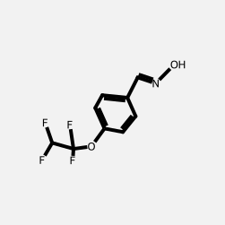 ON=Cc1ccc(OC(F)(F)C(F)F)cc1